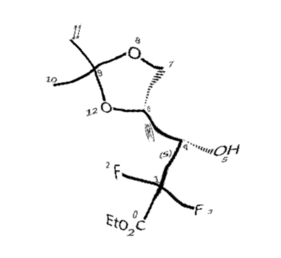 CCOC(=O)C(F)(F)[C@@H](O)[C@H]1COC(C)(C)O1